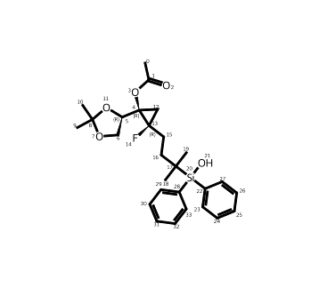 CC(=O)O[C@@]1([C@H]2COC(C)(C)O2)C[C@]1(F)CCC(C)(C)[Si](O)(c1ccccc1)c1ccccc1